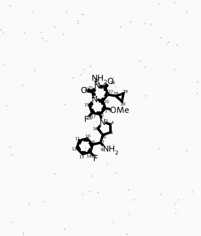 COc1c(N2CCC(C(N)c3ccccc3F)C2)c(F)cn2c(=O)n(N)c(=O)c(C3CC3)c12